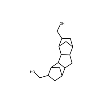 OCC1CC2CC1C1C2CC2C3CC(CO)C(C3)C21